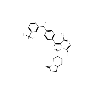 C[C@@H](c1ccc(-c2nc([C@@H]3CC[C@H]4CCC(=O)N4C3)n3c(F)cnc(N)c23)cc1)c1cccc(C(F)(F)F)c1